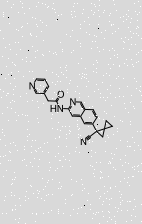 N#CC1(c2ccc3cnc(NC(=O)Cc4cccnc4)cc3c2)CC12CC2